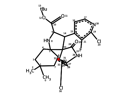 CC1(C)CCC2(CC1)NC(C(=O)OC(C)(C)C)C(c1ccnc(Cl)c1F)C21C(=O)Nc2cc(Cl)ncc21